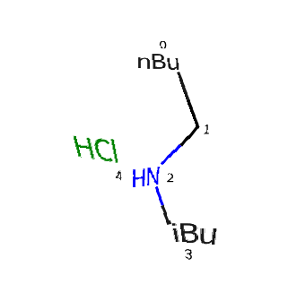 CCCCCNC(C)CC.Cl